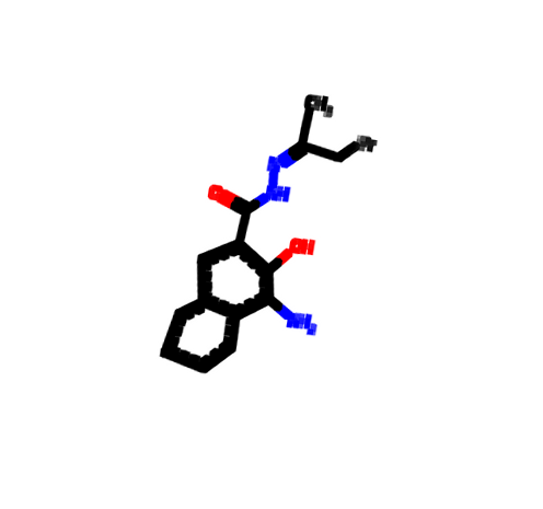 CC(CC(C)C)=NNC(=O)c1cc2ccccc2c(N)c1O